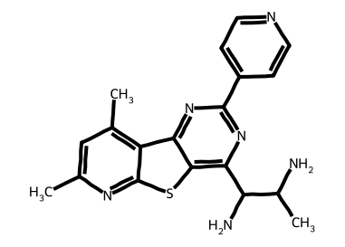 Cc1cc(C)c2c(n1)sc1c(C(N)C(C)N)nc(-c3ccncc3)nc12